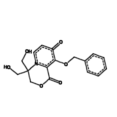 O=C1OCC(CO)(CO)n2ccc(=O)c(OCc3ccccc3)c21